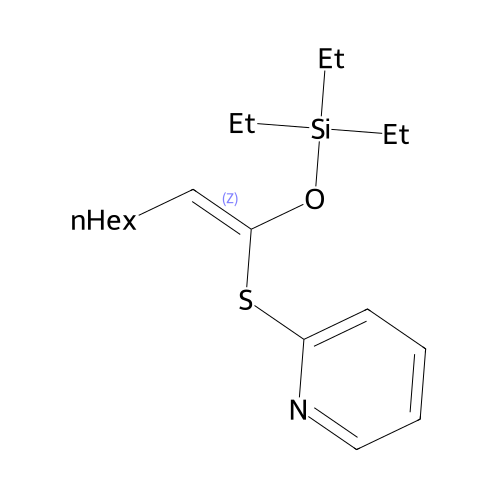 CCCCCC/C=C(/O[Si](CC)(CC)CC)Sc1ccccn1